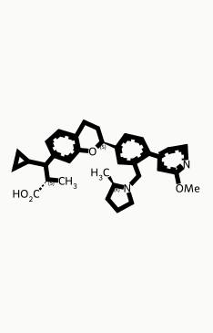 COc1cc(-c2ccc([C@@H]3CCc4ccc(C(C5CC5)[C@H](C)C(=O)O)cc4O3)cc2CN2CCC[C@H]2C)ccn1